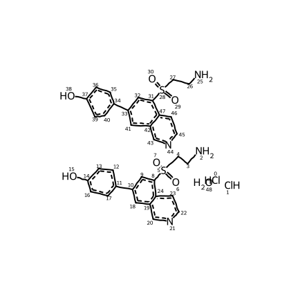 Cl.Cl.NCCS(=O)(=O)c1cc(-c2ccc(O)cc2)cc2cnccc12.NCCS(=O)(=O)c1cc(-c2ccc(O)cc2)cc2cnccc12.O